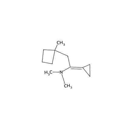 CN(C)C(CC1(C)CCC1)=C1CC1